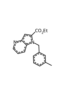 CCOC(=O)c1cc2ncccc2n1Cc1cccc(C)c1